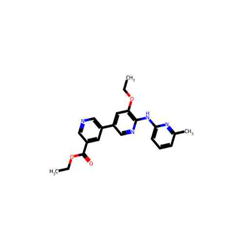 CCOC(=O)c1cncc(-c2cnc(Nc3cccc(C)n3)c(OCC)c2)c1